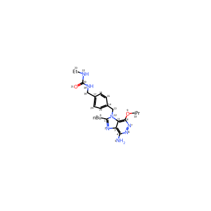 CCCCc1nc2c(N)nnc(OC(C)C)c2n1Cc1ccc(CNC(=O)NCC)cc1